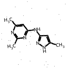 Cc1cc(Nc2cc(C)[nH]n2)nc(C)n1